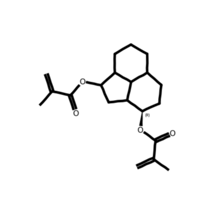 C=C(C)C(=O)OC1CC2C3C(CCCC13)CC[C@H]2OC(=O)C(=C)C